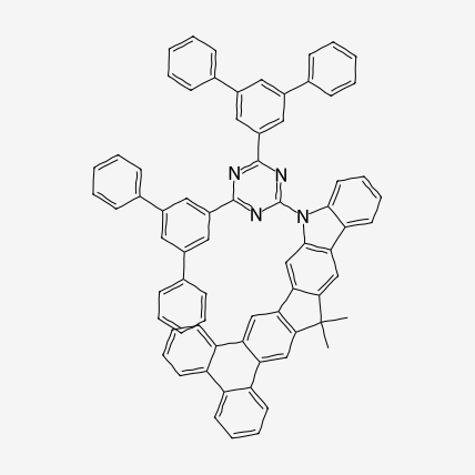 CC1(C)c2cc3c4ccccc4c4ccccc4c3cc2-c2cc3c(cc21)c1ccccc1n3-c1nc(-c2cc(-c3ccccc3)cc(-c3ccccc3)c2)nc(-c2cc(-c3ccccc3)cc(-c3ccccc3)c2)n1